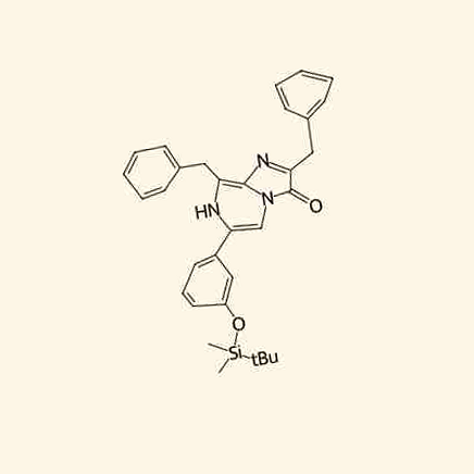 CC(C)(C)[Si](C)(C)Oc1cccc(-c2cn3c(=O)c(Cc4ccccc4)nc-3c(Cc3ccccc3)[nH]2)c1